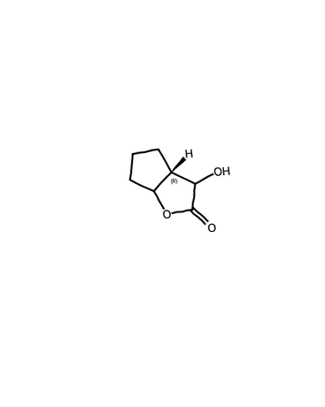 O=C1OC2CCC[C@@H]2C1O